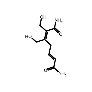 NC(=O)C=CCC(CO)=C(CO)C(N)=O